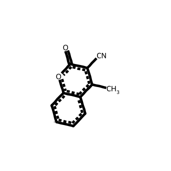 Cc1c(C#N)c(=O)oc2c[c]ccc12